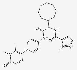 Cc1c(-c2ccc(NC(=O)C(NC(=O)C3=CC=[N+]=[N+]3C)C3CCCCCCC3)cc2)ccc(=O)n1C